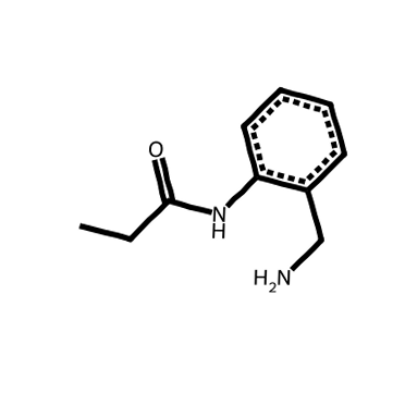 CCC(=O)Nc1ccccc1CN